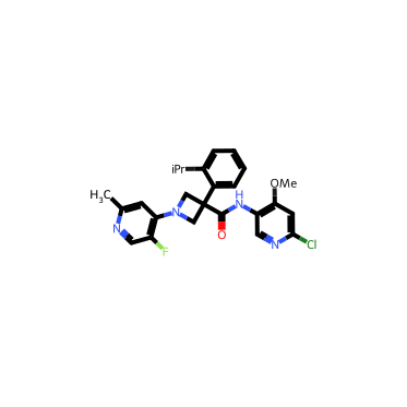 COc1cc(Cl)ncc1NC(=O)C1(c2ccccc2C(C)C)CN(c2cc(C)ncc2F)C1